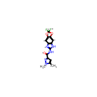 Cc1cc(C(=O)Nc2nc3cc4c(cc3[nH]2)OC(F)(F)O4)nn1C